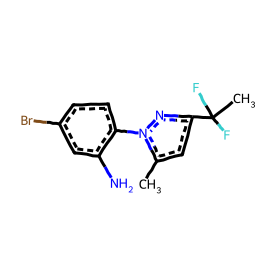 Cc1cc(C(C)(F)F)nn1-c1ccc(Br)cc1N